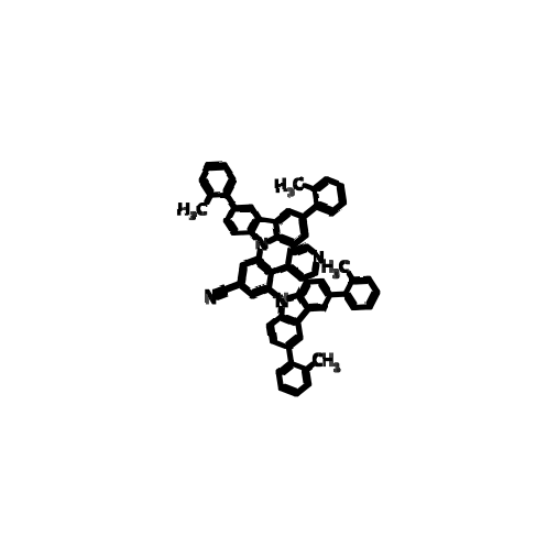 Cc1ccccc1-c1ccc2c(c1)c1cc(-c3ccccc3C)ccc1n2-c1cc(C#N)cc(-n2c3ccc(-c4ccccc4C)cc3c3cc(-c4ccccc4C)ccc32)c1-c1ccncc1